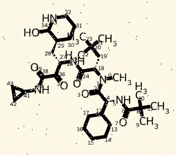 CN(C(=O)[C@H](NC(=O)C(C)(C)C)C1CCCCC1)[C@@H](CC(C)(C)C)C(=O)N[C@@H](C[C@@H]1CCCNC1O)C(=O)C(=O)NC1CC1